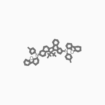 Cc1ccc(N(c2ccc3c4c(ccc3c2)-c2c(c3ccc(N(c5ccc(C)cc5)c5cccc6c5oc5ccccc56)cc3c3ccccc23)C4(C(C)(C)C)C(C)(C)C)c2cccc3c2oc2ccccc23)cc1